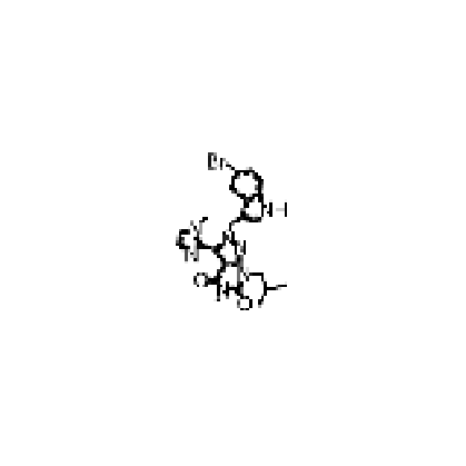 CC(C)Cn1c(=O)n(C)c(=O)c2c(-c3nccn3C)n(Cc3c[nH]c4ccc(Br)cc34)nc21